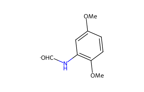 COc1ccc(OC)c(N[C]=O)c1